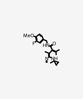 C=N/C(NC1(C)CC1)=C(\C)C(C(=O)NCc1ccc(OC)c(F)c1)=C(C)C